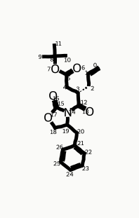 C=CC[C@@H](CC(=O)OC(C)(C)C)C(=O)N1C(=O)OCC1Cc1ccccc1